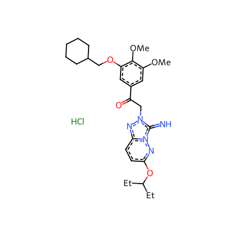 CCC(CC)Oc1ccc2nn(CC(=O)c3cc(OC)c(OC)c(OCC4CCCCC4)c3)c(=N)n2n1.Cl